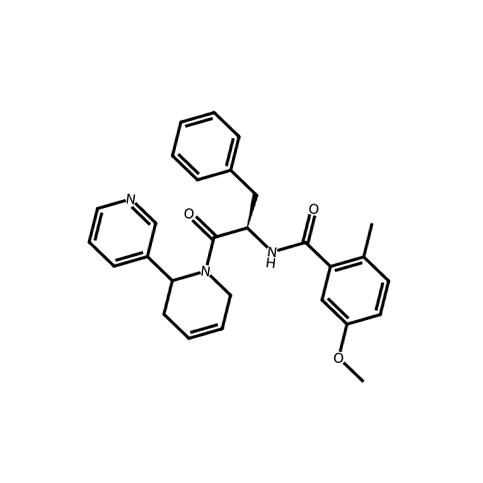 COc1ccc(C)c(C(=O)N[C@H](Cc2ccccc2)C(=O)N2CC=CCC2c2cccnc2)c1